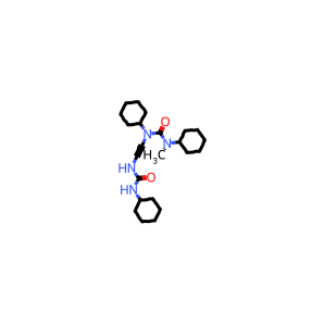 CN(C(=O)N(C#CNC(=O)NC1CCCCC1)C1CCCCC1)C1CCCCC1